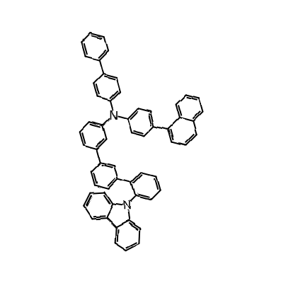 c1ccc(-c2ccc(N(c3ccc(-c4cccc5ccccc45)cc3)c3cccc(-c4cccc(-c5ccccc5-n5c6ccccc6c6ccccc65)c4)c3)cc2)cc1